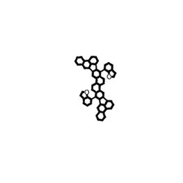 c1cc(-c2c3c(cc4c2ccc2c5cc6c(c(-c7cccc8ccoc78)c5ccc42)-c2cc4ccccc4c4cccc-6c24)-c2cc4ccccc4c4cccc-3c24)c2occc2c1